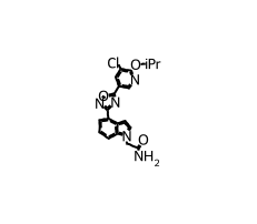 CC(C)Oc1ncc(-c2nc(-c3cccc4c3ccn4CC(N)=O)no2)cc1Cl